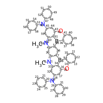 CN1c2cc3c(cc2B2c4ccccc4Oc4cc(N(c5ccccc5)c5ccccc5)cc1c42)B1c2ccccc2Oc2cc(N(c4ccccc4)c4ccccc4)cc(c21)N3C